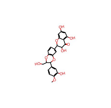 COc1ccc(C2Oc3cc(C4Oc5cc(O)cc(O)c5C(=O)C4O)ccc3OC2CO)cc1O